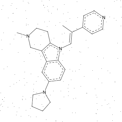 C/C(=C\n1c2c(c3cc(N4CCCC4)ccc31)CN(C)CC2)c1ccncc1